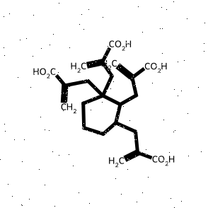 C=C(CC1CCCC(CC(=C)C(=O)O)(CC(=C)C(=O)O)C1CC(=C)C(=O)O)C(=O)O